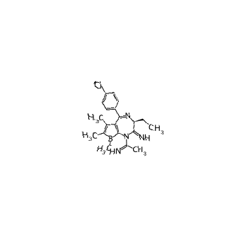 CC[C@@H]1N=C(c2ccc(Cl)cc2)C2=C(B(C)C(C)=C2C)N(C(C)=N)C1=N